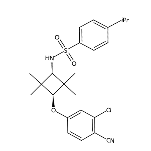 CC(C)c1ccc(S(=O)(=O)N[C@H]2C(C)(C)[C@H](Oc3ccc(C#N)c(Cl)c3)C2(C)C)cc1